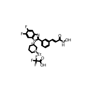 CCN1CCC[C@@H](n2c(-c3cccc(C=CC(=O)NO)c3)nc3cc(F)c(F)cc32)C1.O=C(O)C(F)(F)F